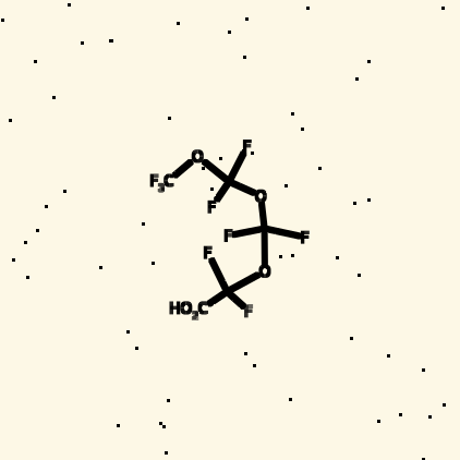 O=C(O)C(F)(F)OC(F)(F)OC(F)(F)OC(F)(F)F